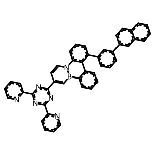 C1=CN2B(C=C1c1nc(-c3ccccn3)nc(-c3ccccn3)n1)c1ccccc1-c1c(-c3cccc(-c4ccc5ccccc5c4)c3)cccc12